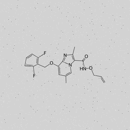 C=CCONC(=O)c1c(C)nc2c(OCc3c(F)cccc3F)cc(C)cn12